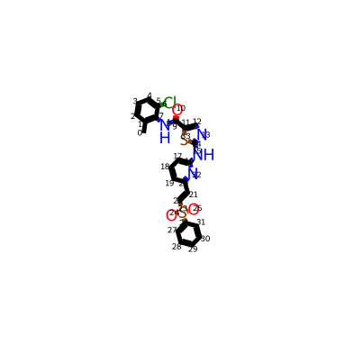 Cc1cccc(Cl)c1NC(=O)c1cnc(Nc2cccc(/C=C/S(=O)(=O)c3ccccc3)n2)s1